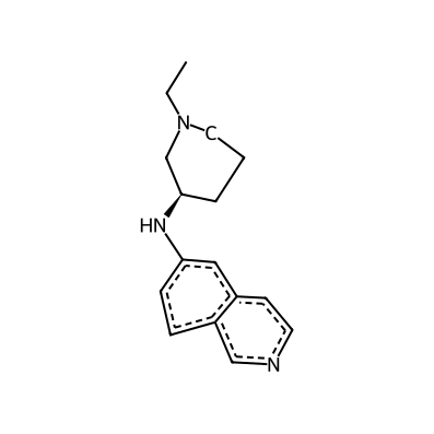 CCN1CCC[C@@H](Nc2ccc3cnccc3c2)C1